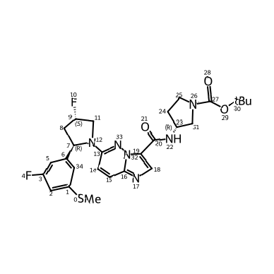 CSc1cc(F)cc([C@H]2C[C@H](F)CN2c2ccc3ncc(C(=O)N[C@@H]4CCN(C(=O)OC(C)(C)C)C4)n3n2)c1